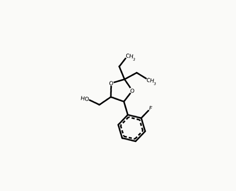 CCC1(CC)OC(CO)C(c2ccccc2F)O1